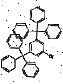 Brc1cc(C(c2ccccc2)(c2ccccc2)c2ccccc2)cc(C(c2ccccc2)(c2ccccc2)c2ccccc2)c1